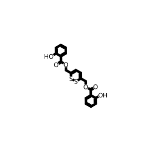 O=C(OCC1=CC=C(COC(=O)c2ccccc2O)SS1)c1ccccc1O